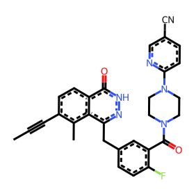 CC#Cc1ccc2c(=O)[nH]nc(Cc3ccc(F)c(C(=O)N4CCN(c5ccc(C#N)cn5)CC4)c3)c2c1C